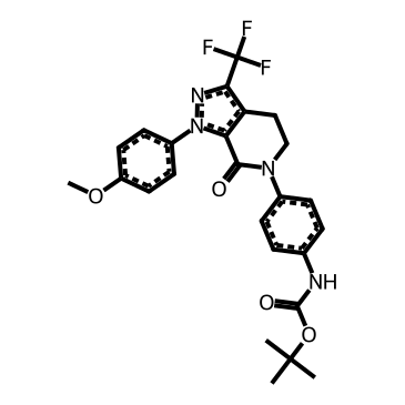 COc1ccc(-n2nc(C(F)(F)F)c3c2C(=O)N(c2ccc(NC(=O)OC(C)(C)C)cc2)CC3)cc1